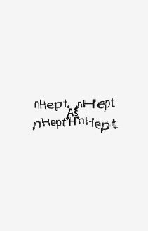 CCCCCCC[AsH](CCCCCCC)(CCCCCCC)CCCCCCC